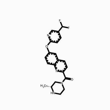 C[C@@H]1CN(C(=O)c2ccc3cc(Oc4ccc(C(F)F)cn4)ccc3n2)CCN1